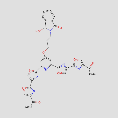 COC(=O)c1coc(-c2coc(-c3cc(OCCCN4C(=O)c5ccccc5C4O)cc(-c4nc(-c5nc(C(=O)OC)co5)co4)n3)n2)n1